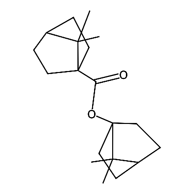 CC1(C)C2CCC1(OC(=O)C13CCC(CC1)C3(C)C)CC2